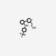 OCCc1cc(-c2ccccc2Nc2ccc(C(F)(F)F)cc2)ccn1